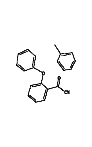 Cc1ccccc1.N#CC(=O)c1ccccc1Oc1ccccc1